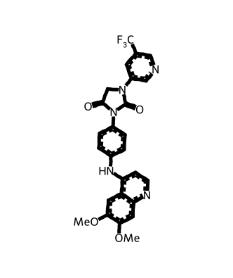 COc1cc2nccc(Nc3ccc(N4C(=O)CN(c5cncc(C(F)(F)F)c5)C4=O)cc3)c2cc1OC